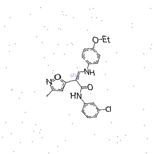 CCOc1ccc(N/C=C(\C(=O)Nc2cccc(Cl)c2)c2cc(C)no2)cc1